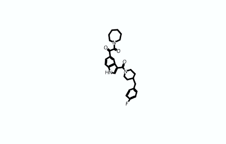 O=C(C(=O)N1CCCCCC1)c1ccc2[nH]cc(C(=O)N3CCC(Cc4ccc(F)cc4)CC3)c2c1